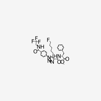 COC(=O)[C@H](Cc1ccccc1)NC(=O)c1nnn(-c2ccc(C(=O)NCC(F)(F)F)cc2)c1CCCCCF